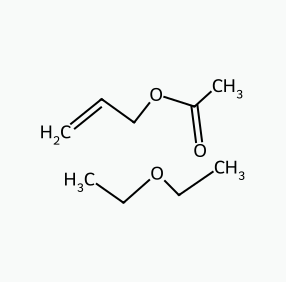 C=CCOC(C)=O.CCOCC